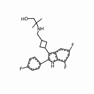 CC(C)(CO)NCC1CC(c2c(-c3ccc(F)cc3)[nH]c3c(F)cc(F)cc23)C1